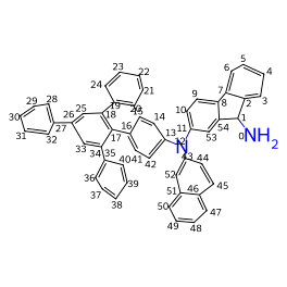 NC1c2ccccc2-c2ccc(N(c3ccc(-c4c(-c5ccccc5)cc(-c5ccccc5)cc4-c4ccccc4)cc3)c3ccc4ccccc4c3)cc21